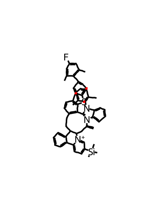 C=C1CC2C(CCc3ccc4c(sc5ccc(-c6c(C)cc(F)cc6C)cc54)c3-c3n(-c4c(C)cccc4C)c4ccccc4[n+]31)c1ccccc1-c1ccc([Si](C)(C)C)c[n+]12